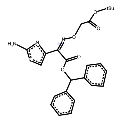 CC(C)(C)OC(=O)CO/N=C(\C(=O)OC(c1ccccc1)c1ccccc1)c1csc(N)n1